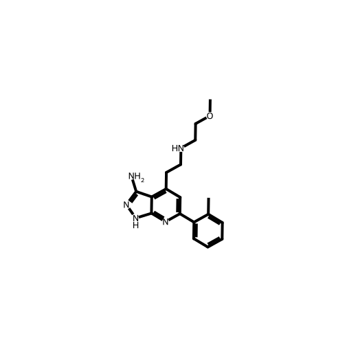 COCCNCCc1cc(-c2ccccc2C)nc2[nH]nc(N)c12